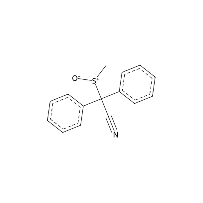 C[S+]([O-])C(C#N)(c1ccccc1)c1ccccc1